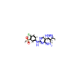 Cc1n[nH]c(-c2cnc(Nc3ccc(F)c(S(C)(=O)=O)c3)nc2N)c1C